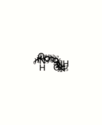 CCC(C)(C)C(=O)NC1CCC(CC2CCC(NC(=O)C(C)(CC)CC)CC2)CC1